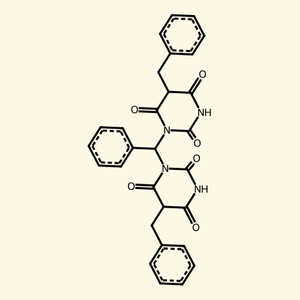 O=C1NC(=O)N(C(c2ccccc2)N2C(=O)NC(=O)C(Cc3ccccc3)C2=O)C(=O)C1Cc1ccccc1